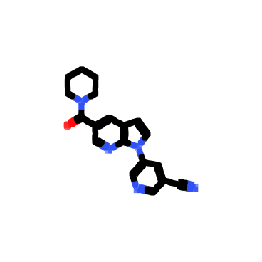 N#Cc1cncc(-n2ccc3cc(C(=O)N4CCCCC4)cnc32)c1